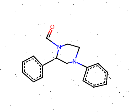 O=CN1CCN(c2ccccc2)CC1c1ccccc1